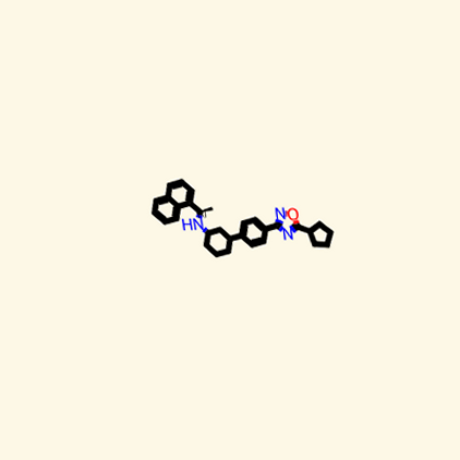 C[C@@H](NC1CCCC(c2ccc(-c3noc(C4CCCC4)n3)cc2)C1)c1cccc2ccccc12